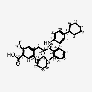 COc1cc(CC(=O)N(Nc2ccc(C3CCCCC3)cc2)c2ccccc2N2CCCCC2)c(Br)cc1C(=O)O